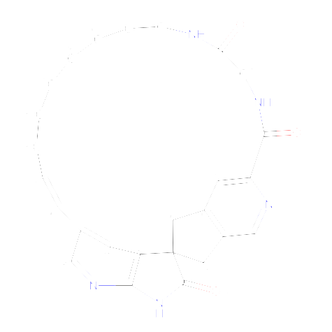 O=C1CNC(=O)c2cc3c(cn2)CC2(C3)C(=O)Nc3ncc(cc32)C=CCCCCCCCN1